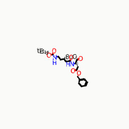 CC(C)COC(=O)[C@H](CC(=O)OCc1ccccc1)NC(=O)CCCCNC(=O)OC(C)(C)C